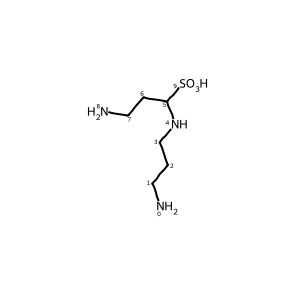 NCCCNC(CCN)S(=O)(=O)O